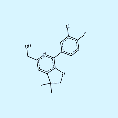 CC1(C)COc2c1cc(CO)nc2-c1ccc(F)c(Cl)c1